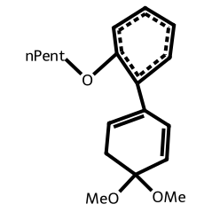 CCCCCOc1ccccc1C1=CCC(OC)(OC)C=C1